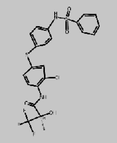 C[C@@](O)(C(=O)Nc1ccc(Sc2ccc(NS(=O)(=O)c3ccccc3)cc2)cc1Cl)C(F)(F)F